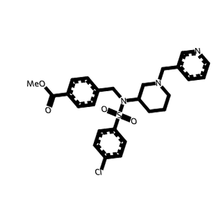 COC(=O)c1ccc(CN(C2CCCN(Cc3cccnc3)C2)S(=O)(=O)c2ccc(Cl)cc2)cc1